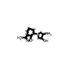 Nc1noc2c(N3CC(N)C(O)C3)cccc12